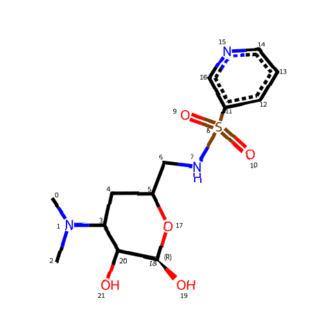 CN(C)C1CC(CNS(=O)(=O)c2cccnc2)O[C@@H](O)C1O